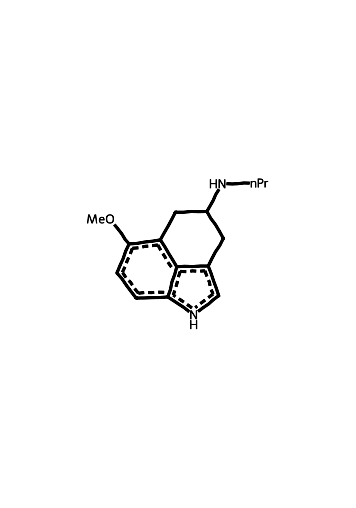 CCCNC1Cc2c[nH]c3ccc(OC)c(c23)C1